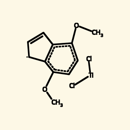 COc1ccc(OC)c2c1[CH]C=C2.[Cl][Ti][Cl]